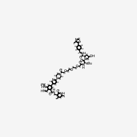 Cc1cc(C)c(CNC(=O)c2cc(-c3ccc(N4CCN(C(=O)COCCOCCOCC(=O)N[C@H](C(=O)N5C[C@H](O)C[C@H]5C(=O)NCc5ccc(-c6scnc6C)cc5)C(C)(C)C)CC4)nc3)cc(NC(C)C)c2C=N)c(=O)[nH]1